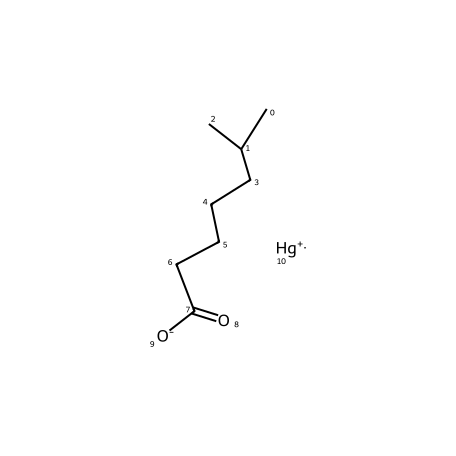 CC(C)CCCCC(=O)[O-].[Hg+]